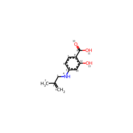 C=C(C)CNc1ccc(C(=O)O)c(O)c1